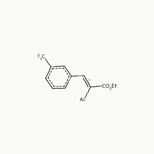 CCOC(=O)/C(=C/c1cccc(C(F)(F)F)c1)C(C)=O